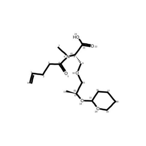 C=CCCC(=O)N(C)[C@@H](COC[C@H](C)OC1CCCCO1)C(=O)O